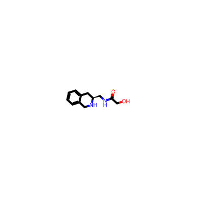 O=C(CO)NC[C@@H]1Cc2ccccc2CN1